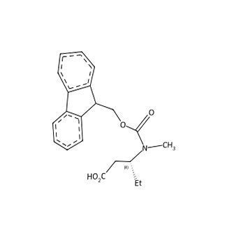 CC[C@H](CC(=O)O)N(C)C(=O)OCC1c2ccccc2-c2ccccc21